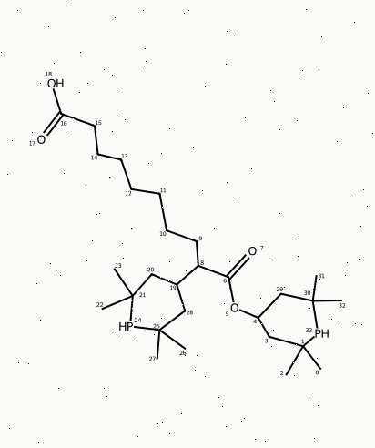 CC1(C)CC(OC(=O)C(CCCCCCCC(=O)O)C2CC(C)(C)PC(C)(C)C2)CC(C)(C)P1